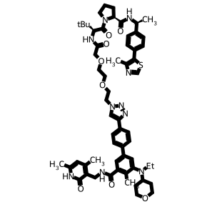 CCN(c1cc(-c2ccc(-c3cn(CCOCCOCC(=O)N[C@H](C(=O)N4CCC[C@H]4C(=O)N[C@@H](C)c4ccc(-c5scnc5C)cc4)C(C)(C)C)nn3)cc2)cc(C(=O)NCc2c(C)cc(C)[nH]c2=O)c1C)C1CCOCC1